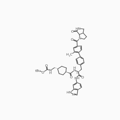 Cc1cc(C(=O)N2CCC3CNC(=O)C32)ccc1-c1ccc(C[C@H](NC(=O)[C@H]2CC[C@H](CNC(=O)OC(C)(C)C)CC2)C(=O)Nc2ccc3cn[nH]c3c2)cc1